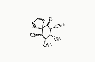 O=C1C(O)C(O)C(O)C(=O)C12[C]=CC=C2